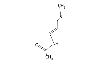 CSCC=CNC(C)=O